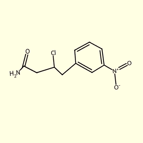 NC(=O)CC(Cl)Cc1cccc([N+](=O)[O-])c1